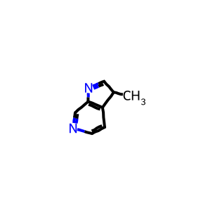 CC1C=Nc2cnccc21